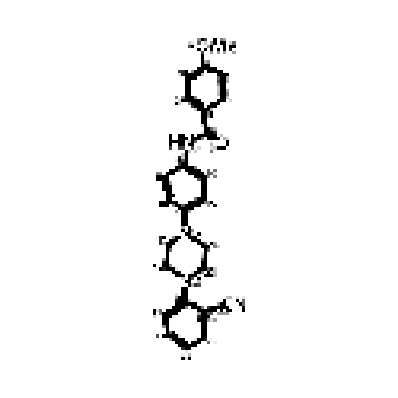 COc1ccc(C(=O)Nc2ccc(N3CCN(c4ccccc4C#N)CC3)cc2)cc1